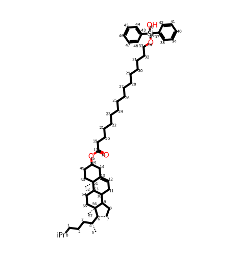 CC(C)CCC[C@@H](C)[C@H]1CCC2C3CC=C4CC(OC(=O)CCCCCCCCCCCCCCCO[Si](O)(c5ccccc5)c5ccccc5)CC[C@]4(C)C3CC[C@@]21C